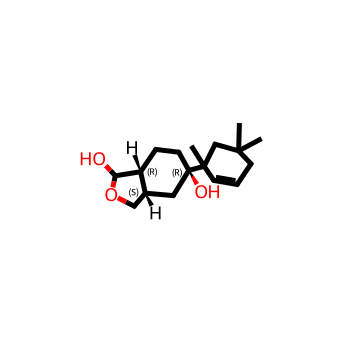 CC1(C)CC=CC(C)([C@@]2(O)CC[C@H]3C(O)OC[C@H]3C2)C1